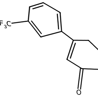 O=C1C=C(c2cccc(C(F)(F)F)c2)CCC1